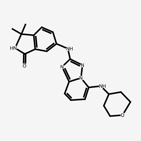 CC1(C)NC(=O)c2cc(Nc3nc4cccc(NC5CCOCC5)n4n3)ccc21